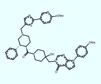 COc1ccc(-n2ccc3c(=O)n(CC4(O)CCN(C(=O)[C@@H]5CCN(Cc6cnc(-c7ccc(OC)nc7)s6)C[C@H]5c5ccccc5)CC4)cnc32)cc1